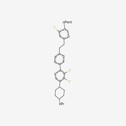 CCCCCc1ccc(CCc2ccc(-c3ccc(C4CCC(CCC)CC4)c(F)c3F)cc2)cc1F